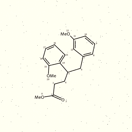 COC(=O)CCC(Cc1cccc(OC)c1)c1ccccc1OC